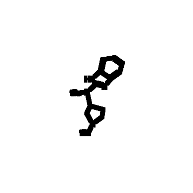 CC(C)(C)N1CCC(N(c2nc3ccccc3[nH]2)C(C)(C)C)C1